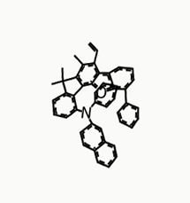 C=Cc1c(C)c2c(c3oc4c(-c5ccccc5)cccc4c13)-c1c(N(c3ccccc3)c3ccc4ccccc4c3)cccc1C2(C)C